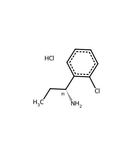 CC[C@@H](N)c1ccccc1Cl.Cl